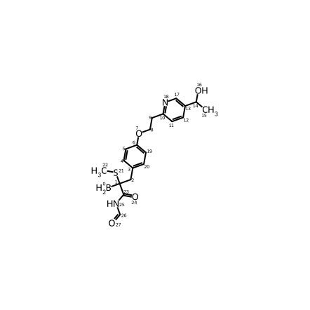 BC(Cc1ccc(OCCc2ccc(C(C)O)cn2)cc1)(SC)C(=O)NC=O